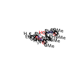 CC[C@H](OC)[C@@H](C)[C@H]1CC(O)([C@@H](C)/C=C/C=C(\C)[C@@H]2O[C@@H](OC)CC(CC[C@H](OC)[C@@H](C)[C@@H]3C[C@H]3[C@H](O)[C@@H](C)/C=C/C=C(\C)[C@@H]3O[C@@H](OC)CC[C@H]3OC)[C@@H]2OC)[C@@H]1C